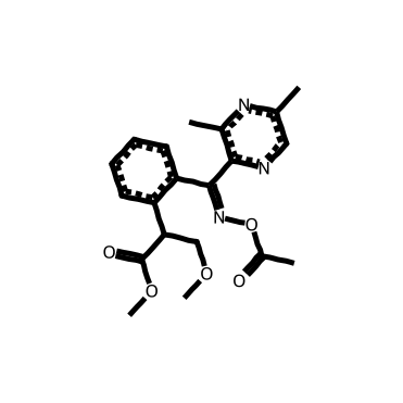 COCC(C(=O)OC)c1ccccc1C(=NOC(C)=O)c1ncc(C)nc1C